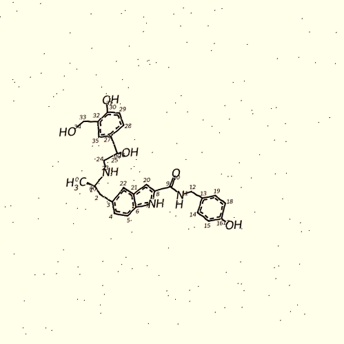 C[C@H](Cc1ccc2[nH]c(C(=O)NCc3ccc(O)cc3)cc2c1)NC[C@H](O)c1ccc(O)c(CO)c1